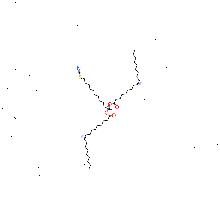 CCCCCCCC/C=C\CCCCCCCC(=O)O[Si](C)(CCCCCCCCCCSC#N)OC(=O)CCCCCCC/C=C\CCCCCCCC